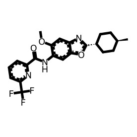 COc1cc2nc([C@H]3CC[C@H](C)CC3)oc2cc1NC(=O)c1cccc(C(F)(F)F)n1